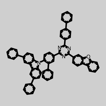 c1ccc(-c2ccc(-c3nc(-c4ccc(-n5c6ccc(-c7ccccc7)cc6c6cc(-c7ccccc7)ccc65)c(-c5ccccc5)c4)nc(-c4ccc5c(c4)oc4ccccc45)n3)cc2)cc1